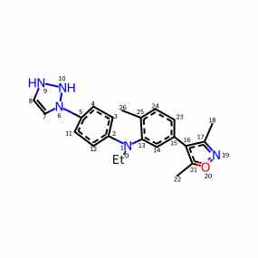 CCN(c1ccc(N2C=CNN2)cc1)c1cc(-c2c(C)noc2C)ccc1C